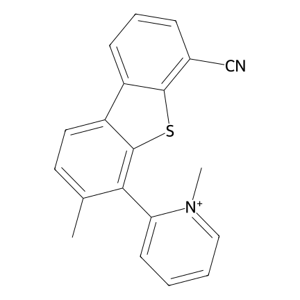 Cc1ccc2c(sc3c(C#N)cccc32)c1-c1cccc[n+]1C